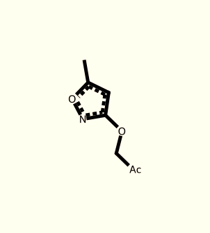 CC(=O)COc1cc(C)on1